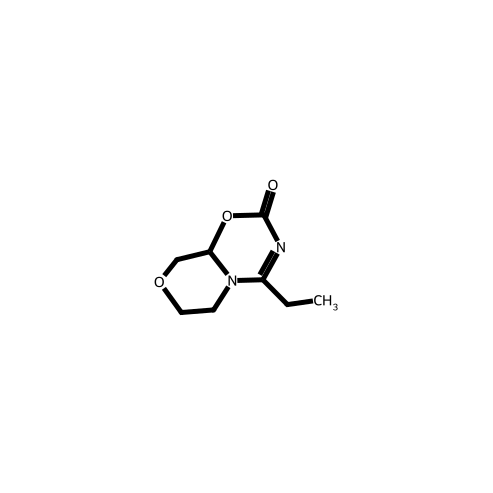 CCC1=NC(=O)OC2COCCN12